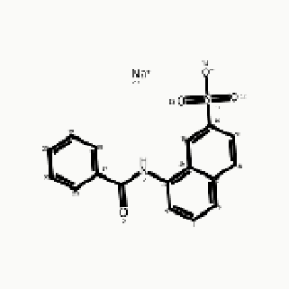 O=C(Nc1cccc2ccc(S(=O)(=O)[O-])cc12)c1ccccc1.[Na+]